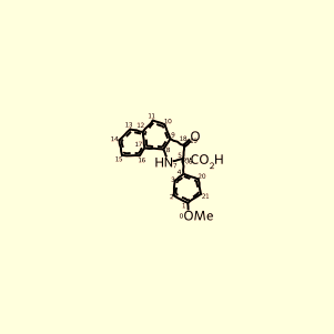 COc1ccc([C@@]2(C(=O)O)Nc3c(ccc4ccccc34)C2=O)cc1